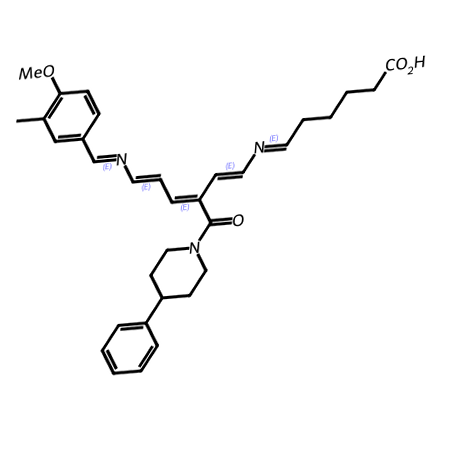 COc1ccc(/C=N/C=C/C=C(\C=C\N=C\CCCCC(=O)O)C(=O)N2CCC(c3ccccc3)CC2)cc1C